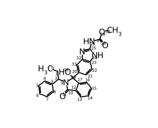 CCC(c1ccccc1)N1C(=O)c2ccccc2C1(O)c1ccc2[nH]c(NC(=O)OC)nc2c1